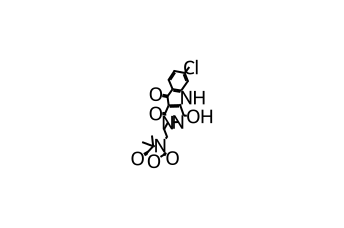 CC1(C)C(=O)OC(=O)N1CCn1nc(O)c2[nH]c3cc(Cl)ccc3c(=O)c2c1=O